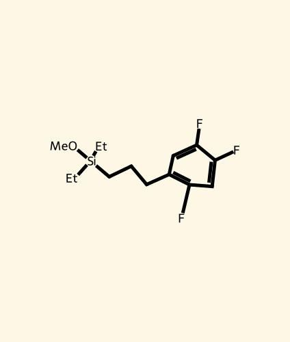 CC[Si](CC)(CCCc1cc(F)c(F)cc1F)OC